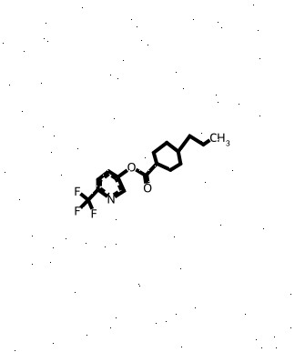 CCCC1CCC(C(=O)Oc2ccc(C(F)(F)F)nc2)CC1